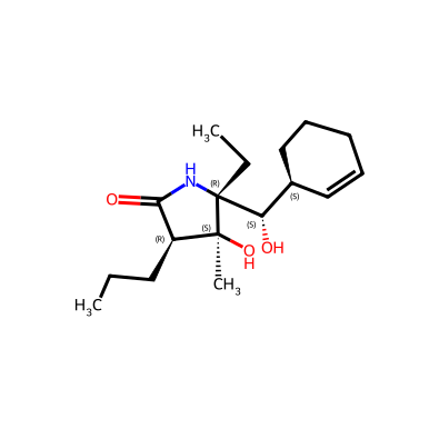 CCC[C@H]1C(=O)N[C@](CC)([C@@H](O)[C@@H]2C=CCCC2)[C@@]1(C)O